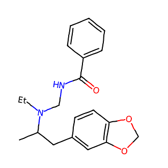 CCN(CNC(=O)c1ccccc1)C(C)Cc1ccc2c(c1)OCO2